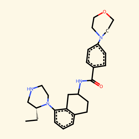 CC[C@@H]1CNCCN1c1cccc2c1CC(NC(=O)c1ccc(N3CCOCC3)cc1)CC2